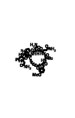 [2H][C@]1(C(=O)NC(CC(C)C)C(=O)NCC(N)=O)CCCN1C(=O)C1CSCCCC(=O)NC(Cc2ccc(OC)cc2)C(=O)NC(C(C)CC)C(=O)NC(CCC(N)=O)C(=O)NC(CC(N)=O)C(=O)N1